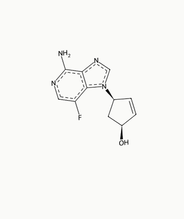 Nc1ncc(F)c2c1ncn2[C@H]1C=C[C@@H](O)C1